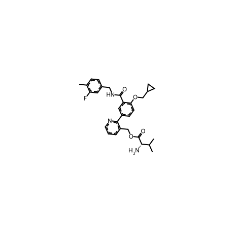 Cc1ccc(CNC(=O)c2cc(-c3ncccc3COC(=O)[C@@H](N)C(C)C)ccc2OCC2CC2)cc1F